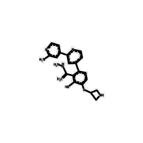 C=C(NN)c1c(-c2ccnc(-c3ccnc(N)c3)c2)ccc(SC2CNC2)c1S